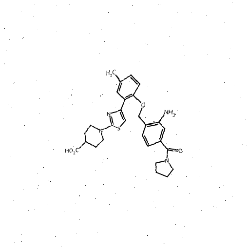 Cc1ccc(OCc2ccc(C(=O)N3CCCC3)cc2N)c(-c2csc(N3CCC(C(=O)O)CC3)n2)c1